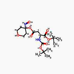 CC(C)(C)OC(=O)N[C@@H](CC(=O)OC1(N=O)CCOCC1)C(=O)OC(C)(C)C